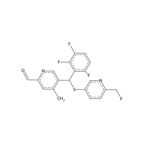 Cc1cc(C=O)ncc1C(Sc1ccc(CF)nc1)c1c(F)ccc(F)c1F